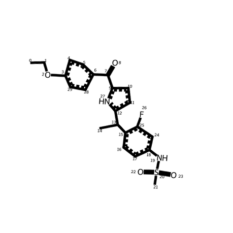 CCOc1ccc(C(=O)c2ccc(C(C)c3ccc(NS(C)(=O)=O)cc3F)[nH]2)cc1